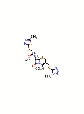 CO[C@@]1(NC(=O)CSc2nnc(C)s2)C(=O)N2C(C(=O)O)=C(CSc3nnnn3C)CS[C@@H]21